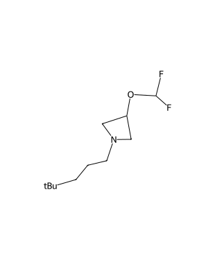 CC(C)(C)CCCN1CC(OC(F)F)C1